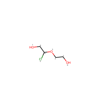 OCCOC(Cl)CO